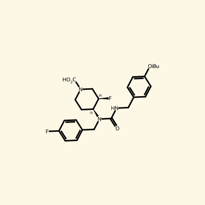 CC(C)COc1ccc(CNC(=O)N(Cc2ccc(F)cc2)[C@H]2CCN(C(=O)O)C[C@H]2F)cc1